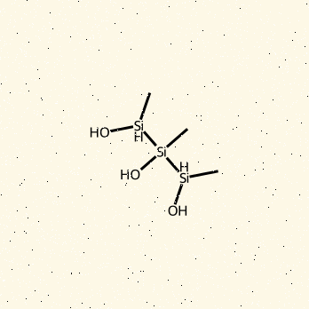 C[SiH](O)[Si](C)(O)[SiH](C)O